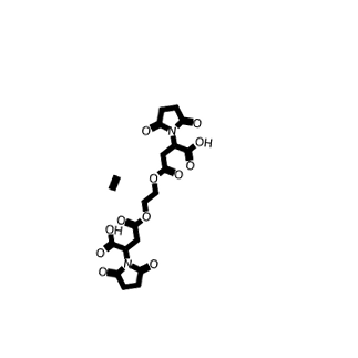 C=C.O=C(CC(C(=O)O)N1C(=O)CCC1=O)OCCOC(=O)CC(C(=O)O)N1C(=O)CCC1=O